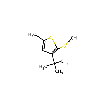 CSc1sc(C)cc1C(C)(C)C